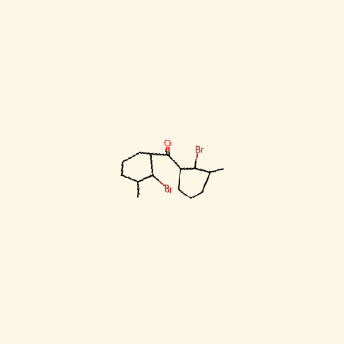 CC1CCCC(C(=O)C2CCCC(C)C2Br)C1Br